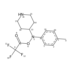 Cc1ccc(N(OC(=O)C(F)(F)F)C2CCNCC2)cc1